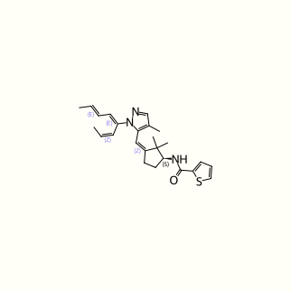 C\C=C/C(=C\C=C\C)n1ncc(C)c1/C=C1/CC[C@H](NC(=O)c2cccs2)C1(C)C